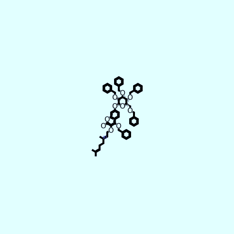 CC(C)=CCC/C(C)=C/COc1c(OCc2ccccc2)c2ccc(O[C@@H]3O[C@H](COCc4ccccc4)[C@@H](OCc4ccccc4)[C@H](OCc4ccccc4)[C@H]3OCc3ccccc3)cc2oc1=O